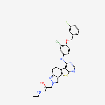 CCNC[C@@H](O)Cn1cc2c(n1)CCc1c-2sc2ncnc(Nc3ccc(OCc4cccc(F)c4)c(Cl)c3)c12